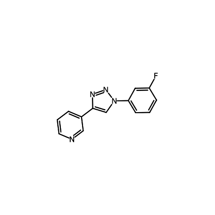 Fc1cccc(-n2cc(-c3cccnc3)nn2)c1